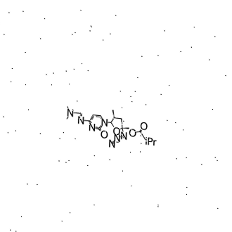 CC(C)C(=O)OC[C@]1(N=[N+]=[N-])C[C@H](C)C(n2ccc(/N=C/N(C)C)nc2=O)O1